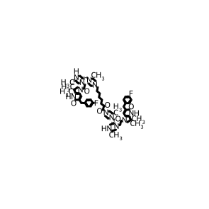 CC1CN(CCCCCCC(=O)C(=O)N2CCN(C[C@H]3CN[C@H](C)CN3CC(=O)N3CC(C)(C)c4[nH]c(=O)c(Cc5ccc(F)cc5)cc43)C(C)C2)CCN1C[C@H]1CN[C@H](C)CN1CC(=O)N1CC(C)(C)c2[nH]c(=O)c(Cc3ccc(F)cc3)cc21